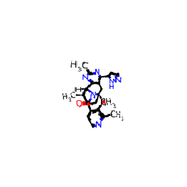 Cc1nc(-c2ccn[nH]2)c2c(n1)[C@H]1[C@H](C)CC[C@@H](C2)N1C(=O)c1ccnc(C)c1C